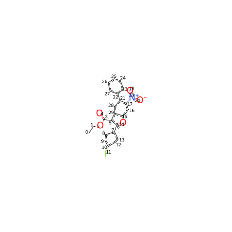 CCOC(=O)c1c(-c2ccc(F)cc2)oc2cc([N+](=O)[O-])c(-c3ccccc3)cc12